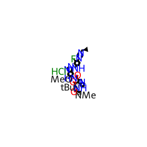 CN[C@@H](C)C(=O)N[C@H](C(=O)C1=C(C(=O)Nc2cc3c(Nc4ccc(N5CCN(CC6CC6)CC5)c(F)c4)ncnc3cc2OC)Cn2cccc21)C(C)(C)C.Cl